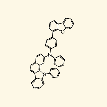 c1ccc(N(c2ccc(-c3cccc4c3oc3ccccc34)cc2)c2ccc3ccc4c5ccccc5n(-c5ccccc5)c4c3c2)cc1